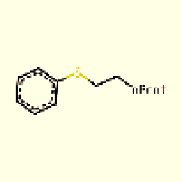 CCCCCCCSc1ccccc1